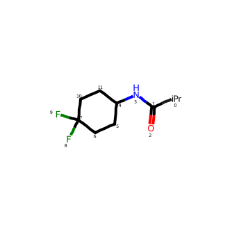 CC(C)C(=O)NC1CCC(F)(F)CC1